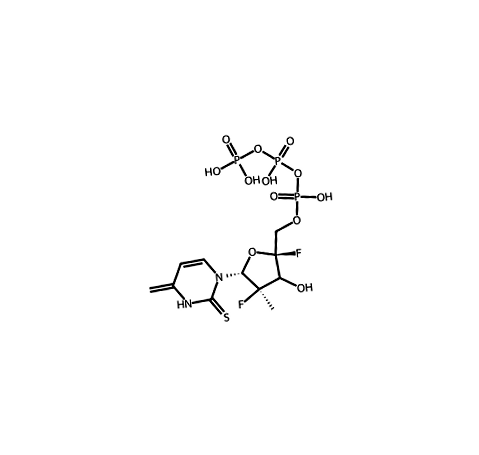 C=C1C=CN([C@@H]2O[C@](F)(COP(=O)(O)OP(=O)(O)OP(=O)(O)O)C(O)[C@@]2(C)F)C(=S)N1